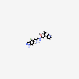 CN(C)C(CNC(=O)CC(c1cccnc1)C1(C(F)(F)F)CC1)Cc1ccc2[nH]ncc2c1F